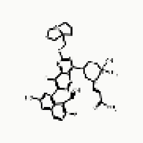 C#Cc1c(F)ccc2cc(O)cc(-c3ncc4c(N5CC[C@@](C)(C#N)C[C@@H](C=CC(N)=O)C5)nc(OCC56CCCN5CCC6)nc4c3F)c12